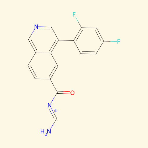 N/C=N/C(=O)c1ccc2cncc(-c3ccc(F)cc3F)c2c1